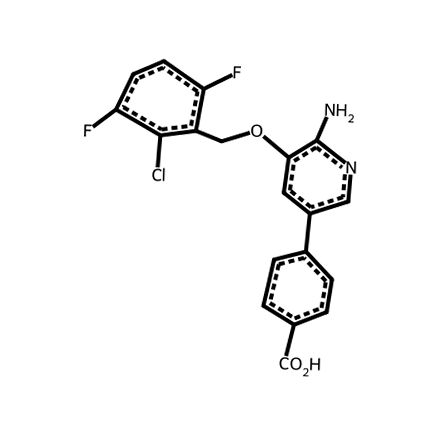 Nc1ncc(-c2ccc(C(=O)O)cc2)cc1OCc1c(F)ccc(F)c1Cl